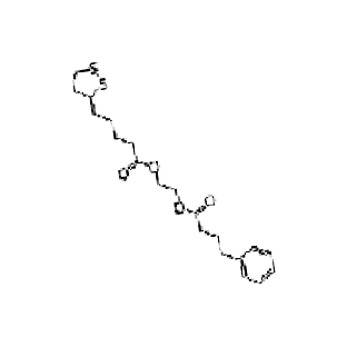 O=C(CCCCC1CCSS1)OCCOC(=O)CCCc1ccccc1